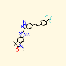 CCN1C(=O)C(C)(C)c2cc3nc(-c4n[nH]c5cc(C=Cc6ccc(C(F)(F)F)cc6)ccc45)[nH]c3cc21